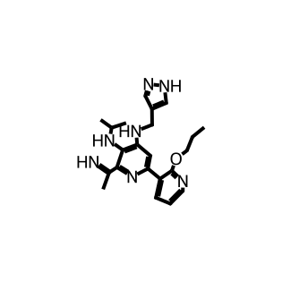 CCCOc1ncccc1-c1cc(NCc2cn[nH]c2)c(NC(C)C)c(C(C)=N)n1